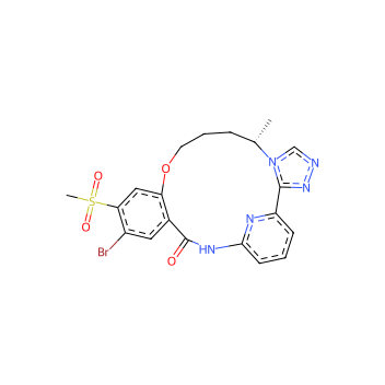 C[C@H]1CCCOc2cc(S(C)(=O)=O)c(Br)cc2C(=O)Nc2cccc(n2)-c2nncn21